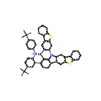 CC(C)(C)c1ccc(Nc2ccc(C(C)(C)C)cc2-c2ccc3c4cc5sc6ccccc6c5cc4n4c3c2Bc2cc3c(cc2-4)sc2ccccc23)cc1